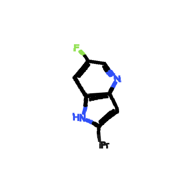 CC(C)c1cc2ncc(F)cc2[nH]1